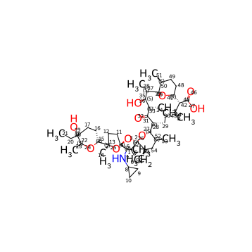 C=C[C@@]1(O[C@]2([C@@H](C)NC3CC3)CC[C@@](C)([C@H]3CC[C@](O)(CC)[C@H](C)O3)O2)O[C@H]([C@@H](CC)C(=O)[C@@H](C)[C@@H](O)[C@H](C)C2O[C@@H](C(CC)C(=O)O)CC[C@@H]2C)[C@@H](C)C[C@H]1C